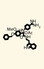 COc1cc([C@](Nc2ccc(C(=N)N)cc2)(OC(C)=O)C(=O)NCCc2c[nH]c3ccccc23)ccc1OCc1ccccc1